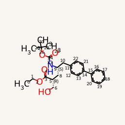 CCOC(=O)[C@@H](CO)C[C@@H](Cc1ccc(-c2ccccc2)cc1)NC(=O)OC(C)(C)C